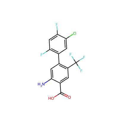 Nc1cc(-c2cc(Cl)c(F)cc2F)c(C(F)(F)F)cc1C(=O)O